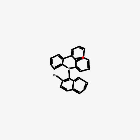 Brc1ccc2ccccc2c1N(c1ccccc1)c1ccccc1-c1ccccc1